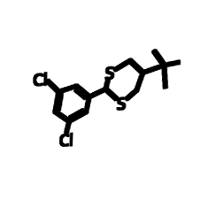 CC(C)(C)C1CSC(c2cc(Cl)cc(Cl)c2)SC1